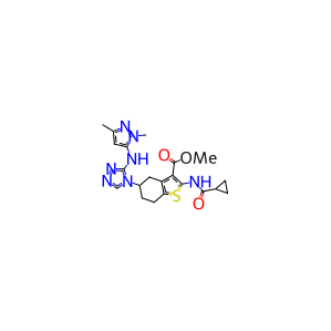 COC(=O)c1c(NC(=O)C2CC2)sc2c1CC(n1cnnc1Nc1cc(C)nn1C)CC2